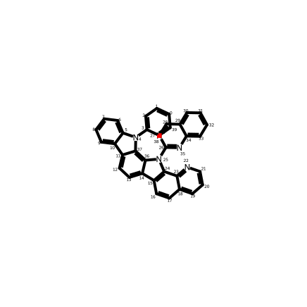 c1ccc(-n2c3ccccc3c3ccc4c5ccc6cccnc6c5n(-c5ncc6ccccc6n5)c4c32)cc1